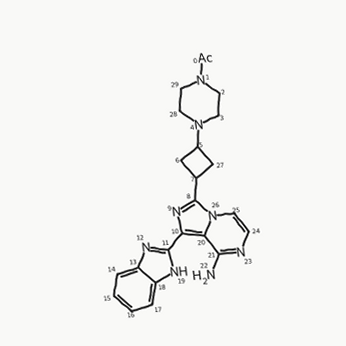 CC(=O)N1CCN(C2CC(c3nc(-c4nc5ccccc5[nH]4)c4c(N)nccn34)C2)CC1